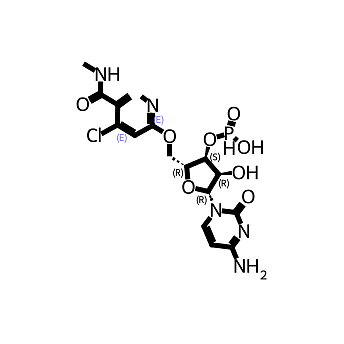 C=C(C(=O)NC)/C(Cl)=C\C(=N/C)OC[C@H]1O[C@@H](n2ccc(N)nc2=O)[C@H](O)[C@@H]1O[PH](=O)O